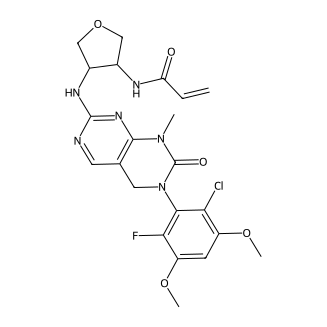 C=CC(=O)NC1COCC1Nc1ncc2c(n1)N(C)C(=O)N(c1c(F)c(OC)cc(OC)c1Cl)C2